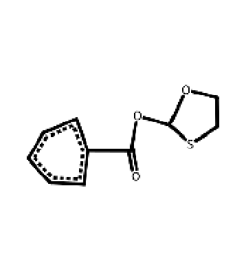 O=C(OC1OCCS1)c1ccccc1